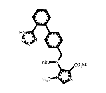 CCCCN(Cc1ccc(-c2ccccc2-c2nnn[nH]2)cc1)c1c(C(=O)OCC)ncn1C